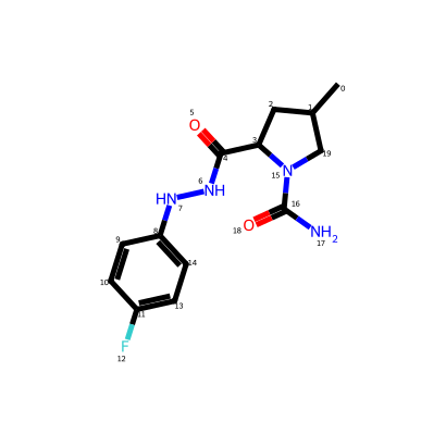 CC1CC(C(=O)NNc2ccc(F)cc2)N(C(N)=O)C1